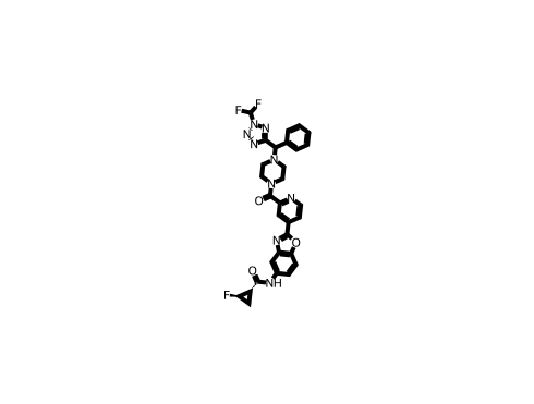 O=C(Nc1ccc2oc(-c3ccnc(C(=O)N4CCN(C(c5ccccc5)c5nnn(C(F)F)n5)CC4)c3)nc2c1)[C@@H]1C[C@H]1F